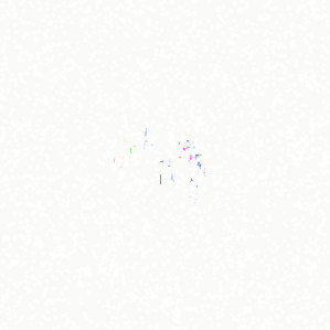 CC(C)(C)NC1CCN(c2cc(C(C)(C)C)cc(-c3nc(C(C)(C)C)cnc3O[C@H]3C[C@H](NC(C)(C)CCC(C)(C)NCCC(F)(F)CCOC(C)(C)C)C3)n2)C1